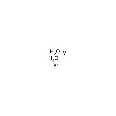 O.O.[V].[V]